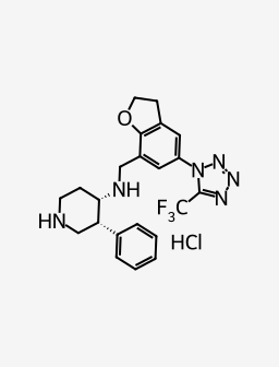 Cl.FC(F)(F)c1nnnn1-c1cc2c(c(CN[C@H]3CCNC[C@H]3c3ccccc3)c1)OCC2